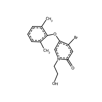 Cc1cccc(C)c1Oc1cn(CCO)c(=O)cc1Br